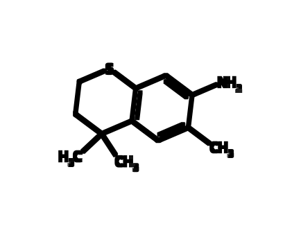 Cc1cc2c(cc1N)SCCC2(C)C